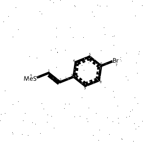 CSC=Cc1ccc(Br)cc1